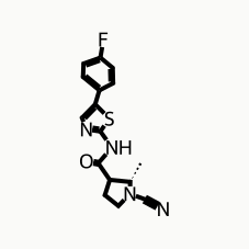 C[C@H]1C(C(=O)Nc2ncc(-c3ccc(F)cc3)s2)CCN1C#N